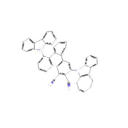 N#Cc1cc(-c2ccccc2-c2ccccc2-n2c3ccccc3c3ccccc32)cc(-n2c3c(c4ccccc42)CCC=CC3)c1C#N